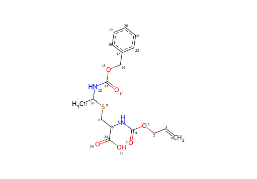 C=CCOC(=O)NC(CSC(C)NC(=O)OCc1ccccc1)C(=O)O